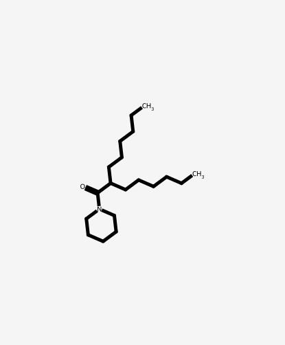 CCCCCCC(CCCCCC)C(=O)N1CCCCC1